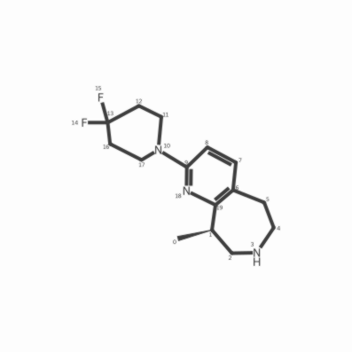 C[C@@H]1CNCCc2ccc(N3CCC(F)(F)CC3)nc21